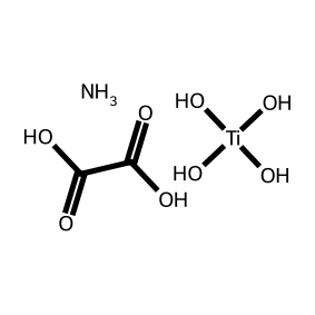 N.O=C(O)C(=O)O.[OH][Ti]([OH])([OH])[OH]